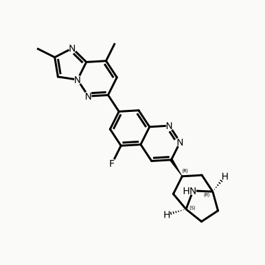 Cc1cn2nc(-c3cc(F)c4cc([C@H]5C[C@H]6CC[C@@H](C5)N6)nnc4c3)cc(C)c2n1